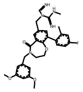 CNC(=N)N(C=N)Cc1cc2c(c(-c3ccc(F)cc3C)c1)OCCN(Cc1cc(OC)cc(OC)c1)C2=O